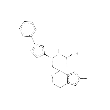 C[C@H]1C[C@@]2(C[C@@H](c3cnn(-c4ccccc4)c3)N1)OCCc1cc(Cl)sc12